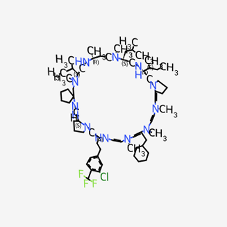 CC[C@H](C)[C@H]1CN2CCCC2=CN(C)C=CN(C)C(CC2CCCCC2)=CN(C)C=CN[C@@H](CCc2ccc(C(F)(F)F)c(Cl)c2)CN2CCC[C@H]2CNC2(CCCC2)CN(C)[C@@H](C(C)C)CN[C@H](C)CCN(C)[C@@H](CC(C)C)CN1